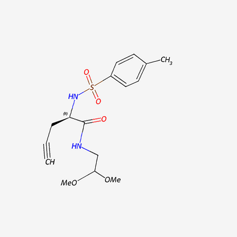 C#CC[C@@H](NS(=O)(=O)c1ccc(C)cc1)C(=O)NCC(OC)OC